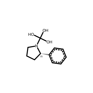 OC(O)(O)N1CCC[C@H]1c1ccccc1